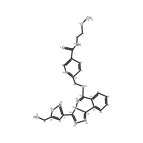 COCCNC(=O)c1ccc(COc2nn3c(-c4cc(CO)on4)nnc3c3ccccc23)nc1